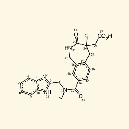 CN(Cc1nc2ccccc2[nH]1)C(=O)c1ccc2c(c1)CNC(=O)C(C)(CC(=O)O)C2